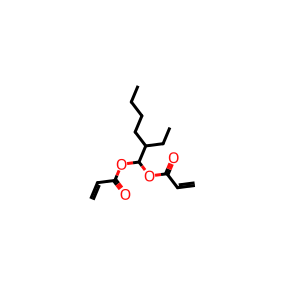 C=CC(=O)OC(OC(=O)C=C)C(CC)CCCC